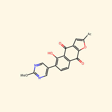 COc1ncc(-c2ccc3c(c2O)C(=O)c2cc(C(C)=O)oc2C3=O)cn1